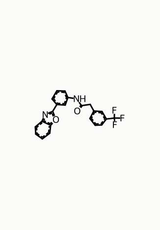 O=C(Cc1cccc(C(F)(F)F)c1)Nc1cccc(-c2nc3ccccc3o2)c1